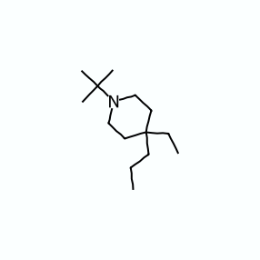 CCCC1(CC)CCN(C(C)(C)C)CC1